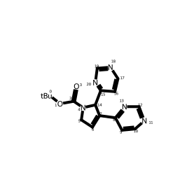 CC(C)(C)OC(=O)N1CC=C(c2ccncn2)C1c1ccncn1